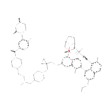 COCOc1cc(-c2ncc3c(N4CC5CCC(C4)N5C(=O)OC(C)(C)C)nc(OCC4(CN5CCC(CN(C)CCC6CCN(C(=O)c7ccc(Cl)c(N8CCC(=O)NC8=O)c7)CC6)CC5)CC4)nc3c2F)c2c(C#C[Si](C(C)C)(C(C)C)C(C)C)c(F)ccc2c1